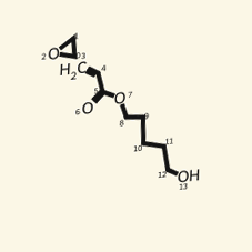 C1CO1.C=CC(=O)OCCCCCO